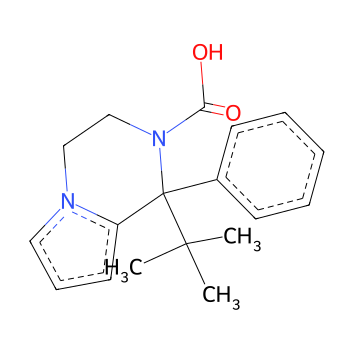 CC(C)(C)C1(c2ccccc2)c2cccn2CCN1C(=O)O